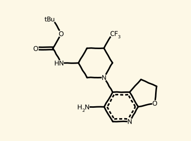 CC(C)(C)OC(=O)NC1CC(C(F)(F)F)CN(c2c(N)cnc3c2CCO3)C1